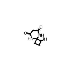 [2H]C1CCC12NC(=O)CC(=O)N2